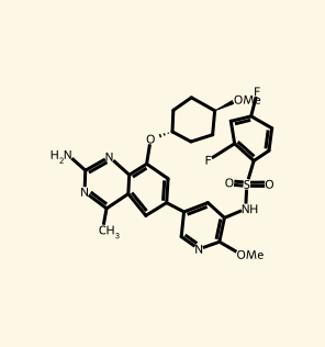 COc1ncc(-c2cc(O[C@H]3CC[C@H](OC)CC3)c3nc(N)nc(C)c3c2)cc1NS(=O)(=O)c1ccc(F)cc1F